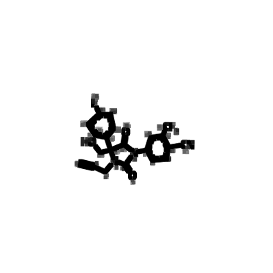 C#CCN1C(=O)N(c2ccc(C#N)c(C(F)(F)F)c2)C(=O)C1(CO)c1ccc(F)cc1